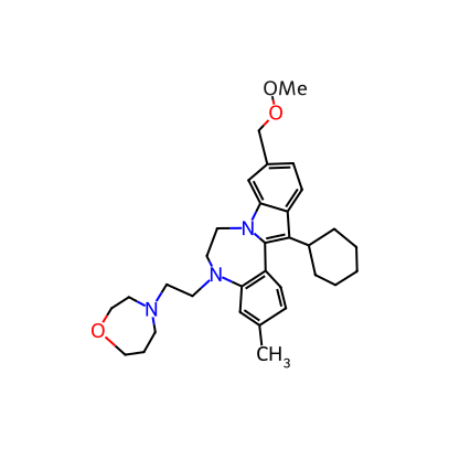 COOCc1ccc2c(C3CCCCC3)c3n(c2c1)CCN(CCN1CCCOCC1)c1cc(C)ccc1-3